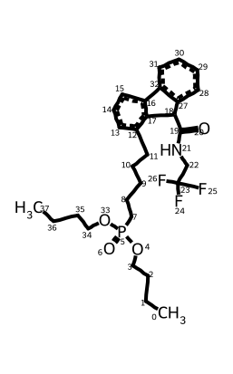 CCCCOP(=O)(CCCCCc1cccc2c1C(C(=O)NCC(F)(F)F)c1ccccc1-2)OCCCC